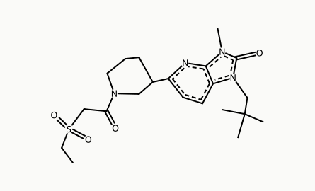 CCS(=O)(=O)CC(=O)N1CCCC(c2ccc3c(n2)n(C)c(=O)n3CC(C)(C)C)C1